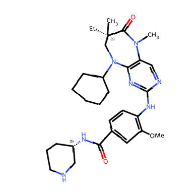 CC[C@@]1(C)CN(C2CCCCC2)c2nc(Nc3ccc(C(=O)N[C@H]4CCCNC4)cc3OC)ncc2N(C)C1=O